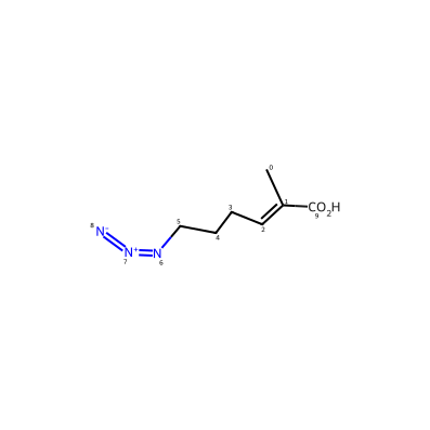 CC(=CCCCN=[N+]=[N-])C(=O)O